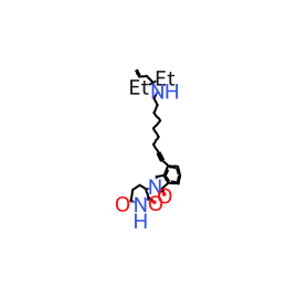 C=CCC(CC)(CC)NCCCCCCCC#Cc1cccc2c1CN(C1CCC(=O)NC1=O)C2=O